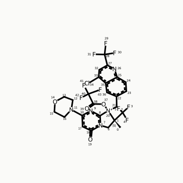 C[C@@]1(C(F)(F)F)Cn2c(nc(N3CCOCC3)cc2=O)[N+]1(Cc1ccc2nc(C(F)(F)F)cc(Cl)c2c1)OC(=O)C(F)(F)F